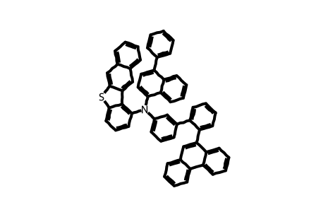 c1ccc(-c2ccc(N(c3cccc(-c4ccccc4-c4cc5ccccc5c5ccccc45)c3)c3cccc4sc5cc6ccccc6cc5c34)c3ccccc23)cc1